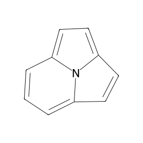 c1cc2ccc3ccc(c1)n23